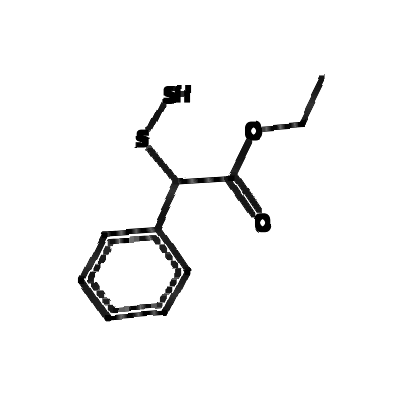 CCOC(=O)C(SS)c1ccccc1